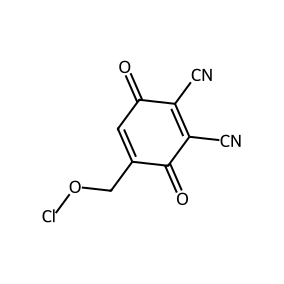 N#CC1=C(C#N)C(=O)C(COCl)=CC1=O